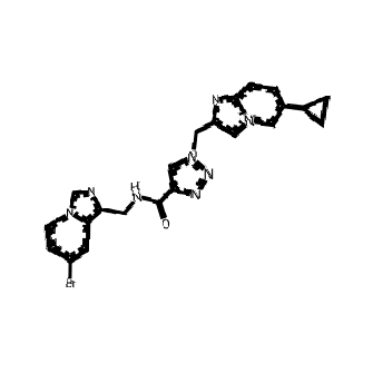 O=C(NCc1ncn2ccc(Br)cc12)c1cn(Cc2cn3cc(C4CC4)ccc3n2)nn1